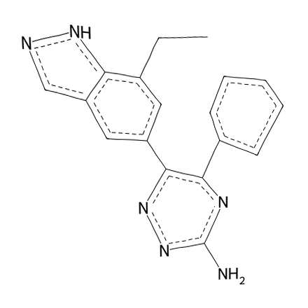 CCc1cc(-c2nnc(N)nc2-c2ccccc2)cc2cn[nH]c12